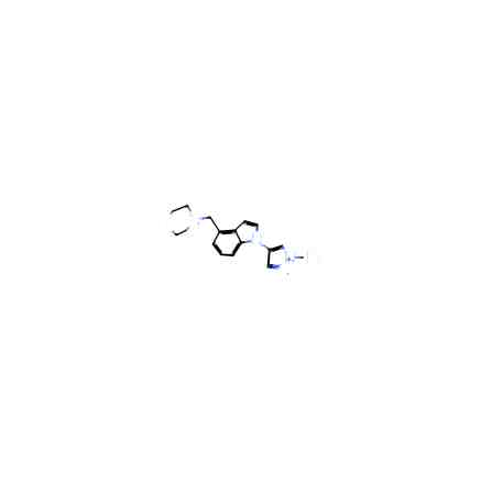 CC(C)n1cc(-n2ccc3c(CN4CCOCC4)cccc32)cn1